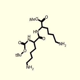 COC(=O)C(CCCCN)NC(=O)C(CCCCN)NC(=O)OC(C)(C)C